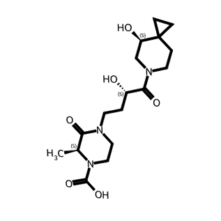 C[C@H]1C(=O)N(CC[C@H](O)C(=O)N2CCC3(CC3)[C@H](O)C2)CCN1C(=O)O